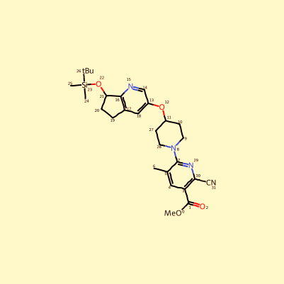 COC(=O)c1cc(C)c(N2CCC(Oc3cnc4c(c3)CCC4O[Si](C)(C)C(C)(C)C)CC2)nc1C#N